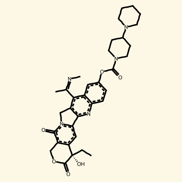 CC[C@@]1(O)C(=O)OCc2c1cc1n(c2=O)Cc2c-1nc1ccc(OC(=O)N3CCC(N4CCCCC4)CC3)cc1c2/C(C)=N\C